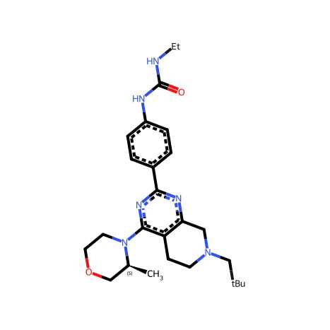 CCNC(=O)Nc1ccc(-c2nc3c(c(N4CCOC[C@@H]4C)n2)CCN(CC(C)(C)C)C3)cc1